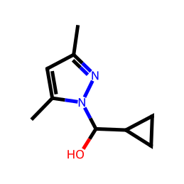 Cc1cc(C)n(C(O)C2CC2)n1